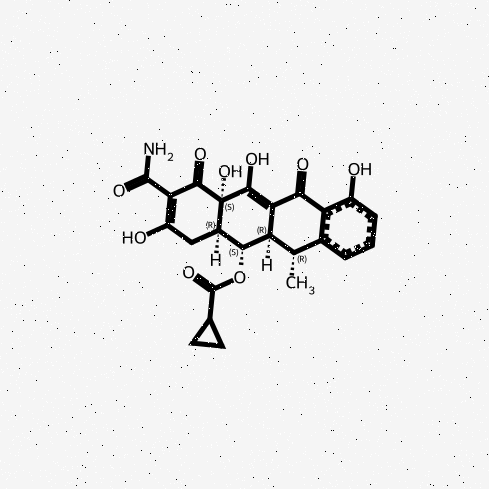 C[C@H]1c2cccc(O)c2C(=O)C2=C(O)[C@]3(O)C(=O)C(C(N)=O)=C(O)C[C@@H]3[C@@H](OC(=O)C3CC3)[C@@H]21